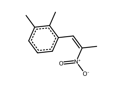 CC(=Cc1cccc(C)c1C)[N+](=O)[O-]